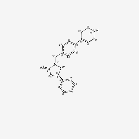 O=C1O[C@H](c2ccccc2)CN1Cc1ccc(C2=CCNCC2)cc1